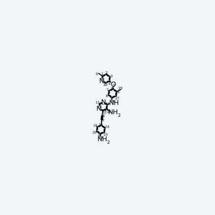 Cc1ccc(Oc2ccc(Nc3ncnc(C#Cc4ccc(N)cc4)c3N)cc2C)cn1